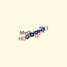 COc1cc(N2Cc3cc(-c4ncc(Cl)cn4)sc3C2=O)ccc1N1CCC(O)CC1